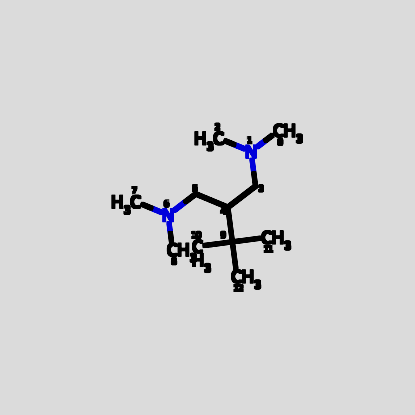 CN(C)CC(CN(C)C)C(C)(C)C